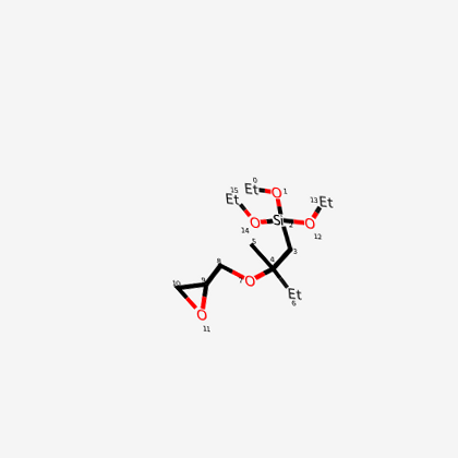 CCO[Si](CC(C)(CC)OCC1CO1)(OCC)OCC